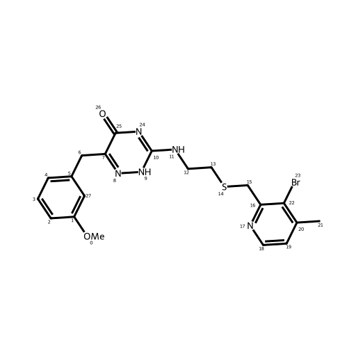 COc1cccc(Cc2n[nH]c(NCCSCc3nccc(C)c3Br)nc2=O)c1